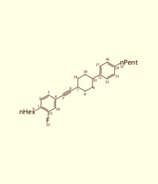 CCCCCCc1ccc(C#CC2CCC(c3ccc(CCCCC)cc3)CC2)cc1F